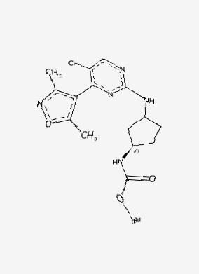 Cc1noc(C)c1-c1nc(NC2CC[C@@H](NC(=O)OC(C)(C)C)C2)ncc1Cl